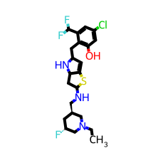 CCN1C[C@H](F)C[C@@H](CNC2CC3NC(Cc4c(O)cc(Cl)cc4C(F)F)C=C3S2)C1